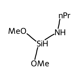 CCCN[SiH](OC)OC